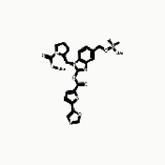 CC(C)(C)OC(=O)N1CCCC1Cn1c(NC(=O)c2ccc(-c3cnco3)s2)nc2cc(CO[Si](C)(C)C(C)(C)C)ccc21